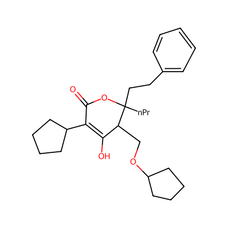 CCCC1(CCc2ccccc2)OC(=O)C(C2CCCC2)=C(O)C1COC1CCCC1